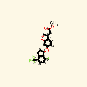 COC(=O)CC1COc2cc(O[C@@H]3CCc4c(C(F)(F)F)ccc(F)c43)ccc21